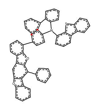 c1ccc(-c2ccccc2N(c2ccc(-c3cccc4c3oc3c(-c5ccccc5)c5c(cc34)oc3ccccc35)cc2)c2cccc3c2sc2ccccc23)cc1